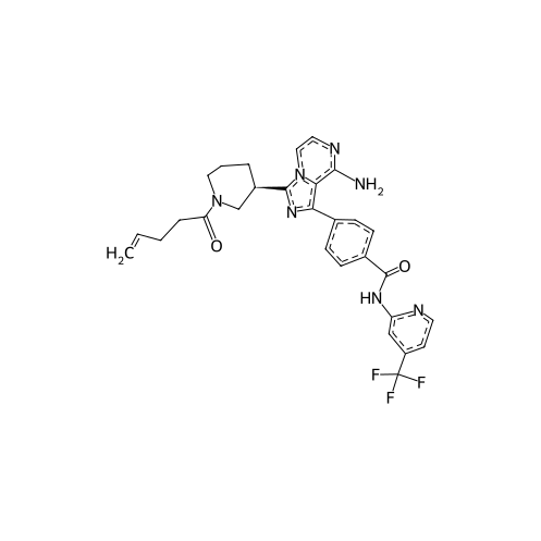 C=CCCC(=O)N1CCC[C@@H](c2nc(-c3ccc(C(=O)Nc4cc(C(F)(F)F)ccn4)cc3)c3c(N)nccn23)C1